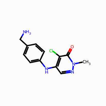 Cn1ncc(Nc2ccc(CN)cc2)c(Cl)c1=O